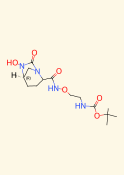 CC(C)(C)OC(=O)NCCONC(=O)C1CC[C@@H]2CN1C(=O)N2O